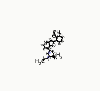 C=C/C=C(C#N)\C=C(/C=C)c1ccnc2cc(-c3ccccc3OC)oc12